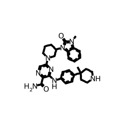 Cn1c(=O)n(C2CCCN(c3cnc(C(N)=O)c(Nc4ccc(C5(C)CCNCC5)cc4)n3)C2)c2ccccc21